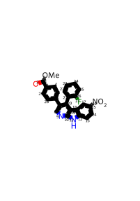 COC(=O)c1ccc(-c2cnc3[nH]c4ccc([N+](=O)[O-])cc4c3c2-c2ccccc2F)cc1